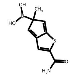 CC1(B(O)O)C=c2cc(C(N)=O)sc2=C1